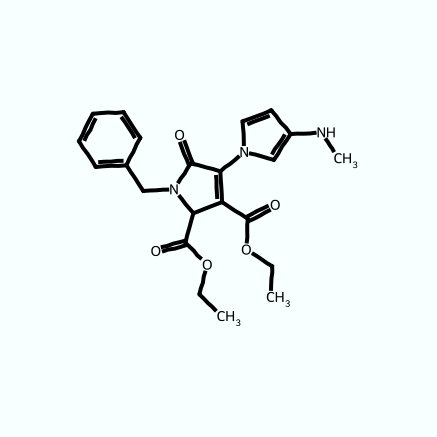 CCOC(=O)C1=C(n2ccc(NC)c2)C(=O)N(Cc2ccccc2)C1C(=O)OCC